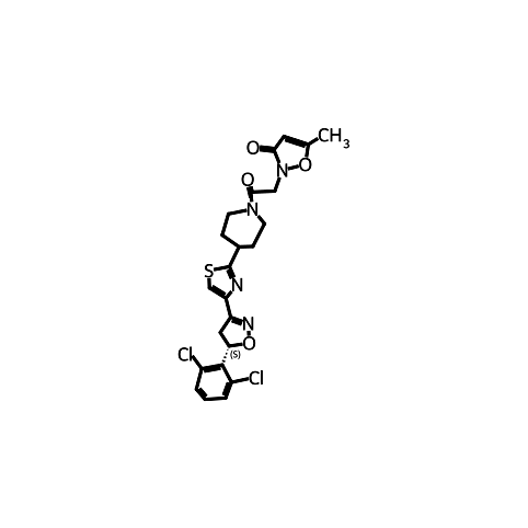 Cc1cc(=O)n(CC(=O)N2CCC(c3nc(C4=NO[C@H](c5c(Cl)cccc5Cl)C4)cs3)CC2)o1